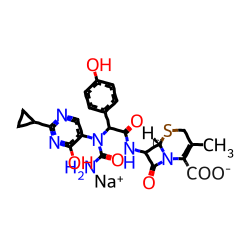 CC1=C(C(=O)[O-])N2C(=O)C(NC(=O)C(c3ccc(O)cc3)N(C(N)=O)c3cnc(C4CC4)nc3O)[C@@H]2SC1.[Na+]